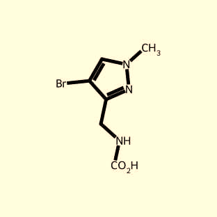 Cn1cc(Br)c(CNC(=O)O)n1